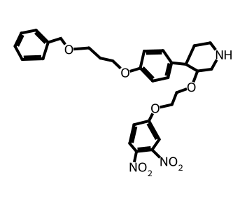 O=[N+]([O-])c1ccc(OCCOC2CNCCC2c2ccc(OCCCOCc3ccccc3)cc2)cc1[N+](=O)[O-]